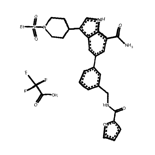 CCS(=O)(=O)N1CCC(c2c[nH]c3c(C(N)=O)cc(-c4cccc(CNC(=O)c5ccco5)c4)cc23)CC1.O=C(O)C(F)(F)F